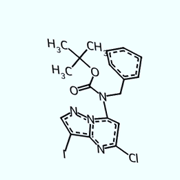 CC(C)(C)OC(=O)N(Cc1ccccc1)c1cc(Cl)nc2c(I)cnn12